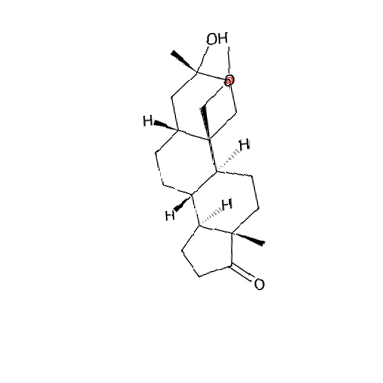 COC[C@]12CC[C@@](C)(O)C[C@H]1CC[C@@H]1[C@@H]2CC[C@]2(C)C(=O)CC[C@@H]12